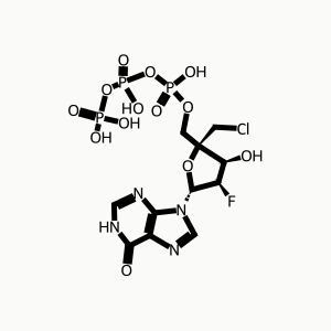 O=c1[nH]cnc2c1ncn2[C@@H]1O[C@](CCl)(COP(=O)(O)OP(=O)(O)OP(=O)(O)O)[C@@H](O)[C@H]1F